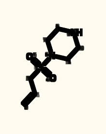 C=CCS(=O)(=O)N1CCNCC1